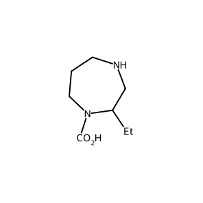 CCC1CNCCCN1C(=O)O